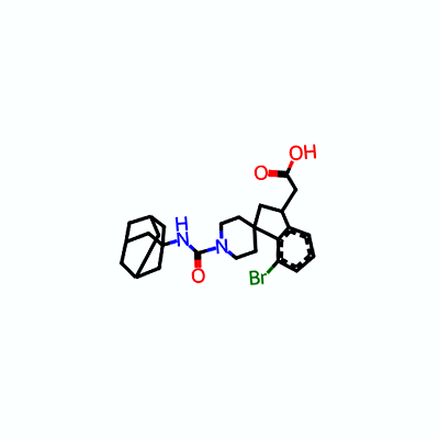 O=C(O)CC1CC2(CCN(C(=O)NC34CC5CC(CC(C5)C3)C4)CC2)c2c(Br)cccc21